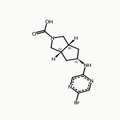 O=C(O)N1C[C@H]2C[C@H](Nc3cnc(Br)cn3)C[C@H]2C1